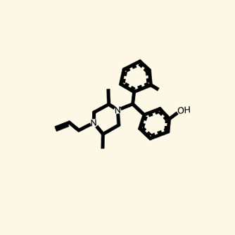 C=CCN1CC(C)N(C(c2cccc(O)c2)c2ccccc2C)CC1C